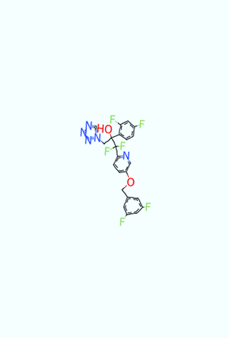 OC(Cn1cnnn1)(c1ccc(F)cc1F)C(F)(F)c1ccc(OCc2cc(F)cc(F)c2)cn1